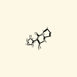 CCc1nc2ccccn2c(=O)c1-c1nnn[nH]1